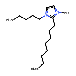 CCCCCCCCCCCCCCCCCc1n(CCC)cc[n+]1CCCCCCCCCCCCCC